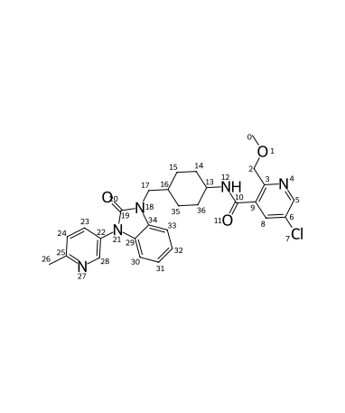 COCc1ncc(Cl)cc1C(=O)NC1CCC(Cn2c(=O)n(-c3ccc(C)nc3)c3ccccc32)CC1